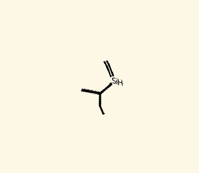 C=[SiH]C(C)C